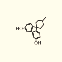 CC1CCC(c2ccc(O)cc2)(c2ccc(O)cc2)CC1